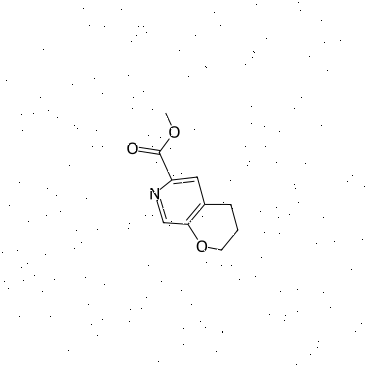 COC(=O)c1cc2c(cn1)OCCC2